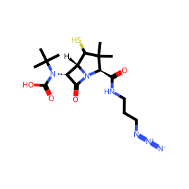 CC1(C)C(S)[C@H]2[C@@H](N(C(=O)O)C(C)(C)C)C(=O)N2[C@@H]1C(=O)NCCCN=[N+]=[N-]